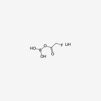 O=C(CF)OB(O)O.[LiH]